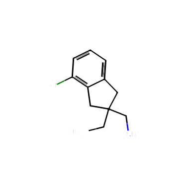 NCC1(CC(=O)O)Cc2cccc(Cl)c2C1